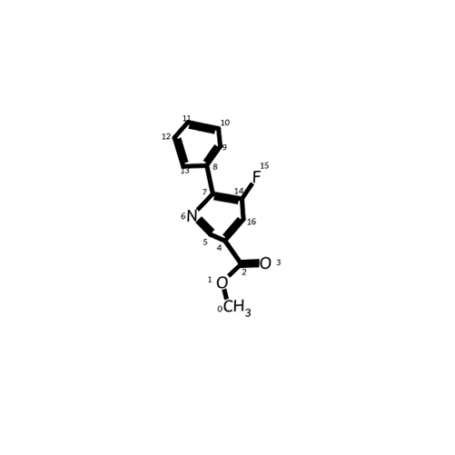 COC(=O)c1cnc(-c2ccccc2)c(F)c1